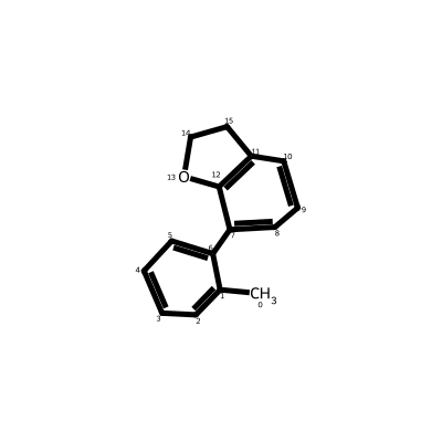 Cc1ccccc1-c1cccc2c1OCC2